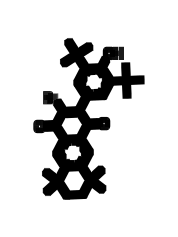 CC(C)(C)c1cc(C2=C(Br)C(=O)c3cc4c(cc3C2=O)C(C)(C)CCC4(C)C)cc(C(C)(C)C)c1O